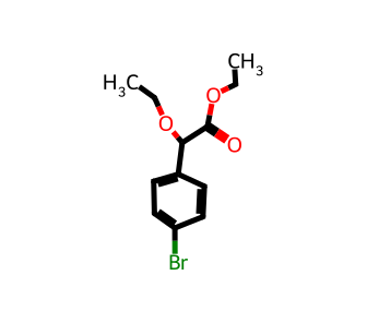 CCOC(=O)C(OCC)c1ccc(Br)cc1